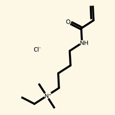 C=CC(=O)NCCCC[N+](C)(C)CC.[Cl-]